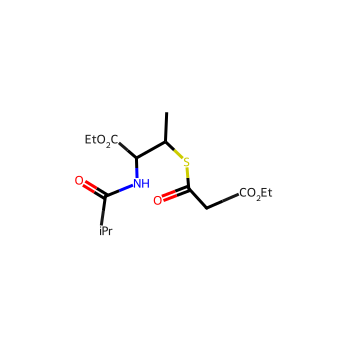 CCOC(=O)CC(=O)SC(C)C(NC(=O)C(C)C)C(=O)OCC